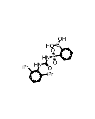 CC(C)c1cccc(C(C)C)c1NC(=O)NS(=O)(=O)c1ccccc1B(O)O